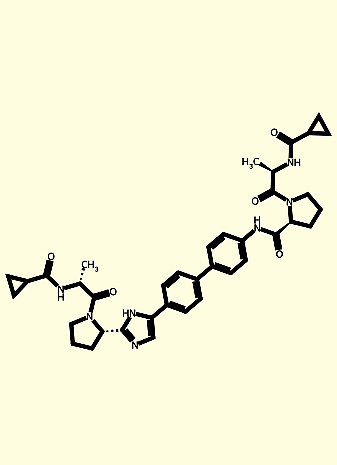 C[C@@H](NC(=O)C1CC1)C(=O)N1CCC[C@H]1C(=O)Nc1ccc(-c2ccc(-c3cnc([C@@H]4CCCN4C(=O)[C@@H](C)NC(=O)C4CC4)[nH]3)cc2)cc1